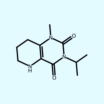 CC(C)n1c(=O)c2c(n(C)c1=O)CCCN2